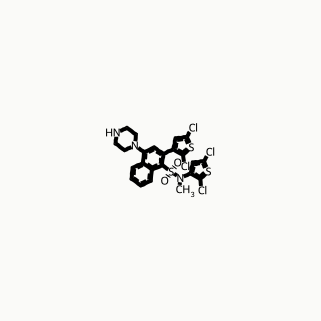 CN(c1cc(Cl)sc1Cl)S(=O)(=O)c1c(-c2cc(Cl)sc2Cl)cc(N2CCNCC2)c2ccccc12